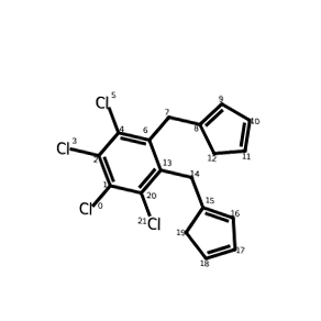 Clc1c(Cl)c(Cl)c(CC2=CC=CC2)c(CC2=CC=CC2)c1Cl